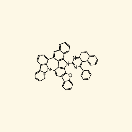 c1ccc(-c2nc(-n3c4c5ccccc5cc5c6cccc7c8ccccc8n(c8cc9c%10ccccc%10oc9c3c8c54)c67)nc3ccc4ccccc4c23)cc1